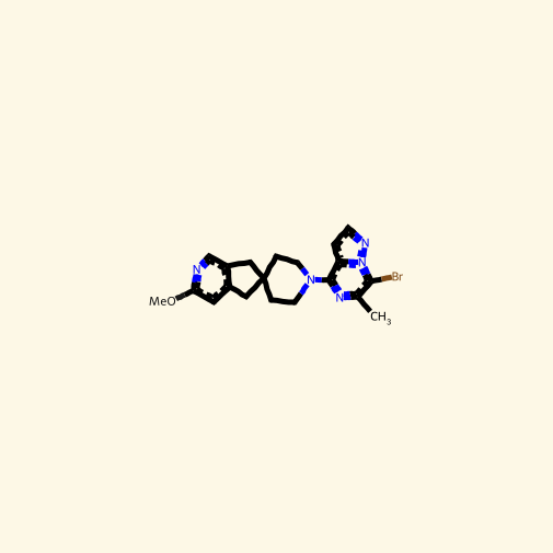 COc1cc2c(cn1)CC1(CCN(c3nc(C)c(Br)n4nccc34)CC1)C2